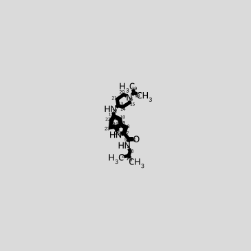 CC(C)CNC(=O)c1cc2cc(NC3CCN(C(C)C)CC3)ccc2[nH]1